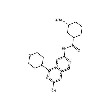 CC(=O)N[C@@H]1CCC[C@H](C(=O)Nc2cc3c(N4CCOCC4)nc(C#N)cc3cn2)C1